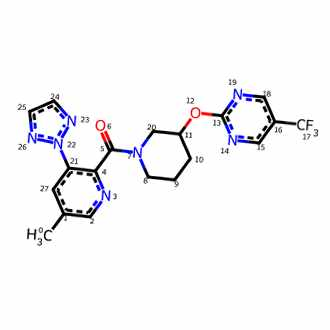 Cc1cnc(C(=O)N2CCCC(Oc3ncc(C(F)(F)F)cn3)C2)c(-n2nccn2)c1